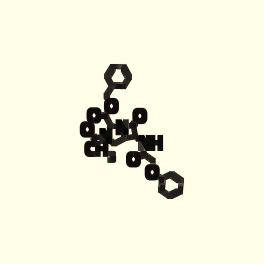 CC(=O)N1CC2[C@H](NC(=O)COc3ccccc3)C(=O)N2C1C(=O)OCc1ccccc1